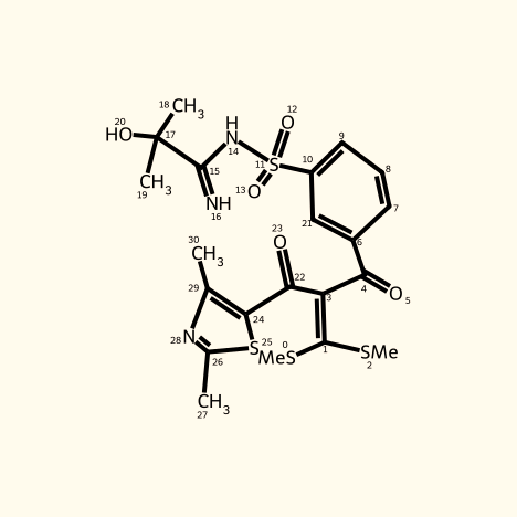 CSC(SC)=C(C(=O)c1cccc(S(=O)(=O)NC(=N)C(C)(C)O)c1)C(=O)c1sc(C)nc1C